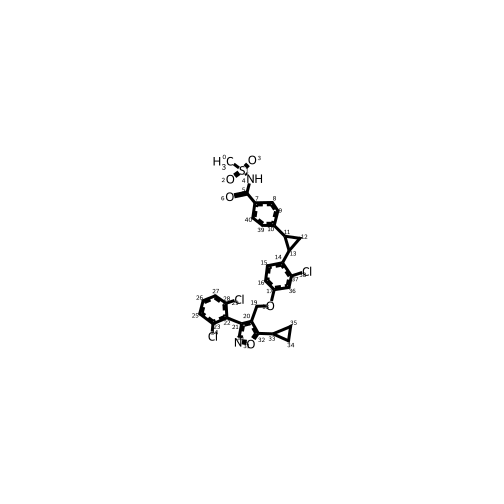 CS(=O)(=O)NC(=O)c1ccc(C2CC2c2ccc(OCc3c(-c4c(Cl)cccc4Cl)noc3C3CC3)cc2Cl)cc1